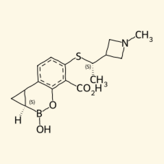 C[C@H](Sc1ccc2c(c1C(=O)O)OB(O)[C@H]1CC21)C1CN(C)C1